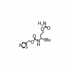 CC(C)(C)C(CCOC(N)=O)NC(=O)OCc1cncs1